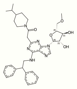 COC[C@H]1O[C@@H](n2cnc3c(NCC(c4ccccc4)c4ccccc4)nc(CC(=O)N4CCC(C(C)C)CC4)nc32)[C@@H](O)[C@@H]1O